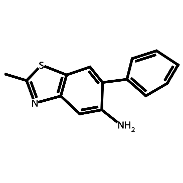 Cc1nc2cc(N)c(-c3ccccc3)cc2s1